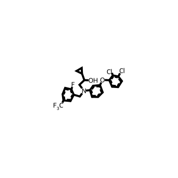 OC(CN(Cc1cc(C(F)(F)F)ccc1F)c1cccc(Oc2cccc(Cl)c2Cl)c1)C1CC1